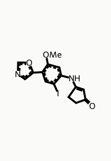 COc1cc(NC2=CC(=O)CC2)c(I)cc1-c1cnco1